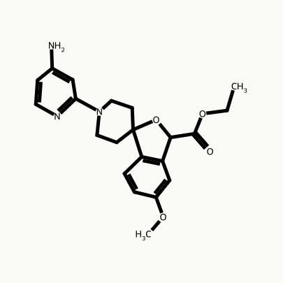 CCOC(=O)C1OC2(CCN(c3cc(N)ccn3)CC2)c2ccc(OC)cc21